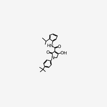 CC(C)c1ccccc1NC(=O)C1=C(O)CN(c2ccc(C(C)(C)C)cc2)C1=O